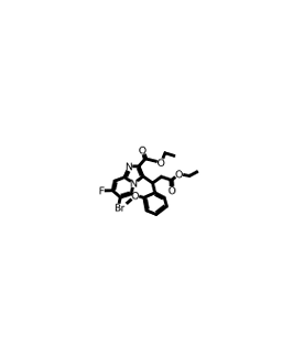 CCOC(=O)CC(c1ccccc1OC)c1c(C(=O)OCC)nc2cc(F)c(Br)cn12